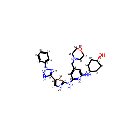 O[C@H]1CC[C@H](Nc2cc(CN3CCOCC3)cc(Nc3ncc(-c4nnn(-c5ccccc5)n4)s3)n2)CC1